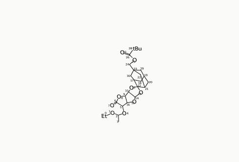 CCOC(C)OC1C(=O)OC2C3OC4(OC3OC12)C1CC2CC4CC(COC(=O)C(C)(C)C)(C2)C1